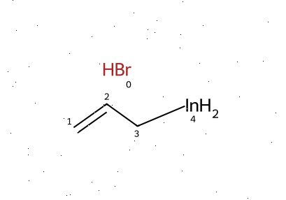 Br.C=C[CH2][InH2]